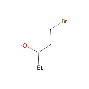 CCC([O])CCBr